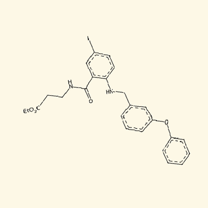 CCOC(=O)CCNC(=O)c1cc(I)ccc1NCc1cccc(Oc2ccccc2)c1